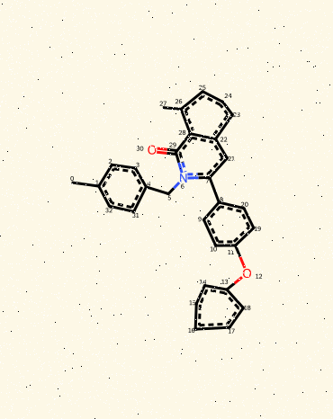 Cc1ccc(Cn2c(-c3ccc(Oc4ccccc4)cc3)cc3cccc(C)c3c2=O)cc1